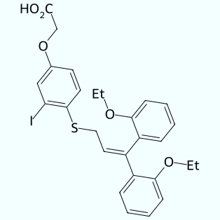 CCOc1ccccc1C(=CCSc1ccc(OCC(=O)O)cc1I)c1ccccc1OCC